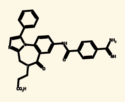 N=C(N)c1ccc(C(=O)Nc2ccc3c(c2)C(=O)N(CCC(=O)O)Cc2ncc(-c4ccccc4)n2-3)cc1